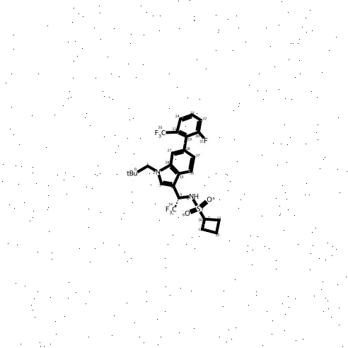 CC(C)(C)Cn1cc([C@H](NS(=O)(=O)C2CCC2)C(F)(F)F)c2ccc(-c3c(F)cccc3C(F)(F)F)cc21